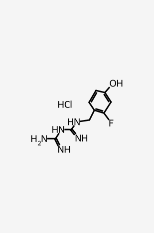 Cl.N=C(N)NC(=N)NCc1ccc(O)cc1F